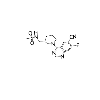 CS(=O)(=O)NC[C@@H]1CCCN(c2ncnc3cc(F)c(C#N)cc23)C1